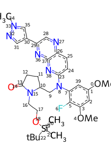 COc1cc(OC)c(F)c(N(CC2CCC(=O)N2CCO[Si](C)(C)C(C)(C)C)c2ccc3ncc(-c4cnn(C)c4)nc3n2)c1